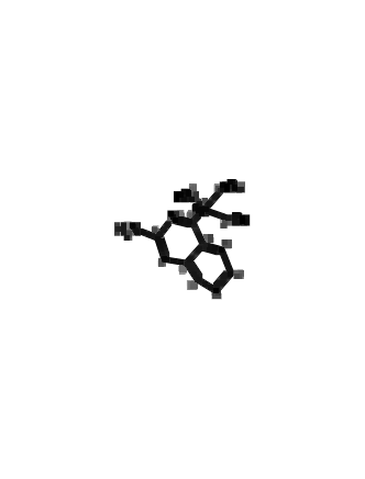 CCC[CH2][Sn]([CH2]CCC)([CH2]CCC)[c]1nc(N)cc2ccccc12